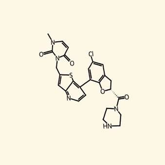 Cn1ccc(=O)n(Cc2cc3nccc(-c4cc(Cl)cc5c4O[C@@H](C(=O)N4CCNCC4)C5)c3s2)c1=O